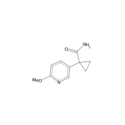 COc1ccc(C2(C(N)=O)CC2)cn1